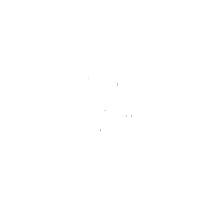 [O-][Si]([O-])([O-])[O-].[Te+4]